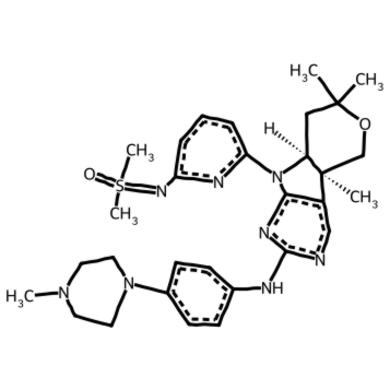 CN1CCN(c2ccc(Nc3ncc4c(n3)N(c3cccc(N=S(C)(C)=O)n3)[C@H]3CC(C)(C)OC[C@@]43C)cc2)CC1